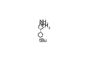 C/C=C(\C=C/NN)c1ccc(C(C)(C)C)cc1